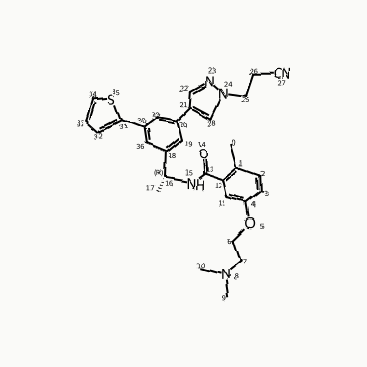 Cc1ccc(OCCN(C)C)cc1C(=O)N[C@H](C)c1cc(-c2cnn(CCC#N)c2)cc(-c2cccs2)c1